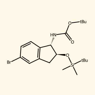 CC(C)(C)OC(=O)N[C@H]1c2ccc(Br)cc2C[C@@H]1O[Si](C)(C)C(C)(C)C